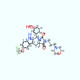 CC12Cc3c([nH]c4ccc(OC(F)F)cc34)C(c3cccc(O)c3)N1C(=O)N(CCCN1CCOCC1)C2=O